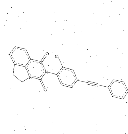 O=c1c2cccc3c2n(c(=O)n1-c1ccc(C#Cc2ccccc2)cc1Cl)CC3